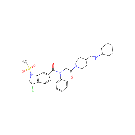 CS(=O)(=O)n1cc(Cl)c2ccc(C(=O)N(CC(=O)N3CCC(CNC4CCCCC4)CC3)c3ccccc3)cc21